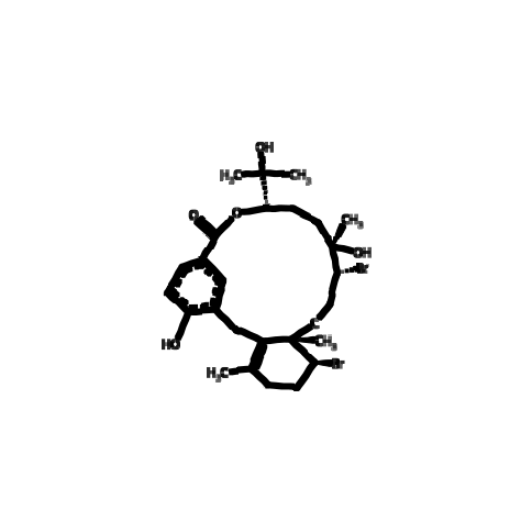 CC1=C2Cc3cc(ccc3O)C(=O)O[C@H](C(C)(C)O)CC[C@](C)(O)[C@H](Br)CC[C@]2(C)[C@@H](Br)CC1